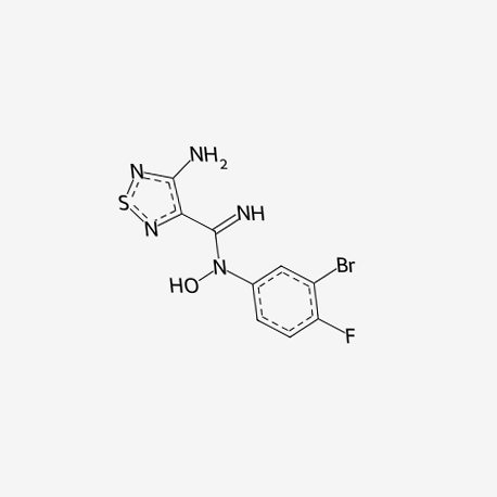 N=C(c1nsnc1N)N(O)c1ccc(F)c(Br)c1